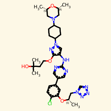 C[C@@H]1CN(C2CCC(n3cc(Nc4ncc(-c5ccc(Cl)c(O[C@@H](C)Cn6cnnn6)c5)cn4)c(OCCC(C)(C)O)n3)CC2)C[C@H](C)O1